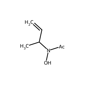 C=CC(C)N(O)C(C)=O